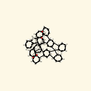 c1ccc(-c2cc3c(cc2N(c2ccccc2)c2ccccc2)C2(c4ccccc4-3)c3ccccc3-c3cc(-c4ccccc4)c(N(c4ccccc4)c4cccc5oc6ccccc6c45)cc32)cc1